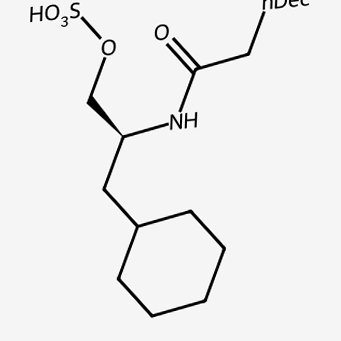 CCCCCCCCCCCC(=O)N[C@H](COS(=O)(=O)O)CC1CCCCC1